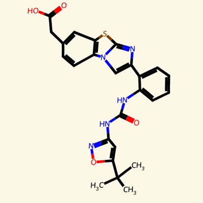 CC(C)(C)c1cc(NC(=O)Nc2ccccc2-c2cn3c(n2)sc2cc(CC(=O)O)ccc23)no1